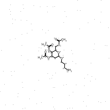 CC(=O)OCC1OC(OCCCN)CC(OC(C)=O)C1OC(C)=O